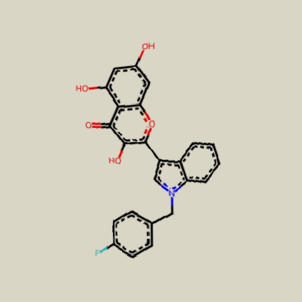 O=c1c(O)c(-c2cn(Cc3ccc(F)cc3)c3ccccc23)oc2cc(O)cc(O)c12